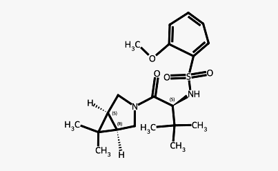 COc1ccccc1S(=O)(=O)N[C@H](C(=O)N1C[C@@H]2[C@H](C1)C2(C)C)C(C)(C)C